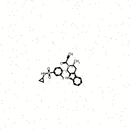 C#CC(=O)N1[C@@H](c2ccc(S(=O)(=O)NC3CC3)cc2F)c2[nH]c3ccccc3c2C[C@@H]1C